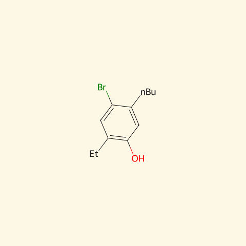 CCCCc1cc(O)c(CC)cc1Br